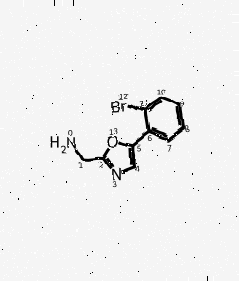 NCc1ncc(-c2ccccc2Br)o1